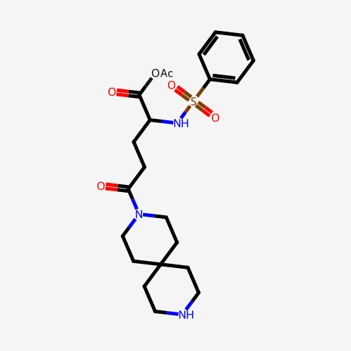 CC(=O)OC(=O)C(CCC(=O)N1CCC2(CCNCC2)CC1)NS(=O)(=O)c1ccccc1